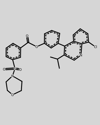 CC(C)c1cnc2c(Cl)cccc2c1-c1cccc(OC(=O)c2cccc(S(=O)(=O)N3CCOCC3)c2)c1